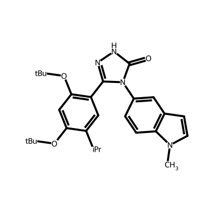 CC(C)c1cc(-c2n[nH]c(=O)n2-c2ccc3c(ccn3C)c2)c(OC(C)(C)C)cc1OC(C)(C)C